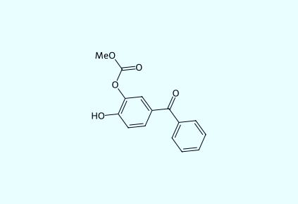 COC(=O)Oc1cc(C(=O)c2ccccc2)ccc1O